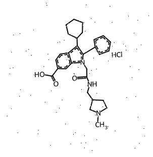 CN1CCC(CNC(=O)Cn2c(-c3ccccc3)c(C3CCCCC3)c3ccc(C(=O)O)cc32)C1.Cl